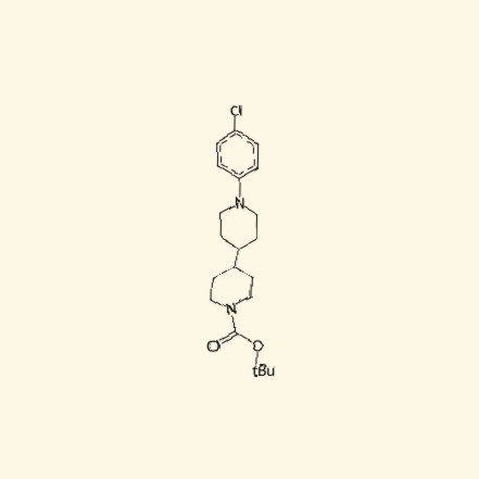 CC(C)(C)OC(=O)N1CCC(C2CCN(c3ccc(Cl)cc3)CC2)CC1